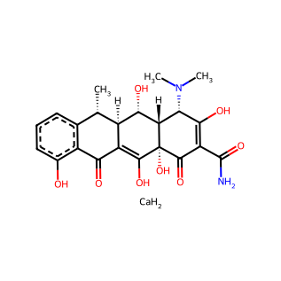 C[C@H]1c2cccc(O)c2C(=O)C2=C(O)[C@]3(O)C(=O)C(C(N)=O)=C(O)[C@@H](N(C)C)[C@H]3[C@@H](O)[C@@H]21.[CaH2]